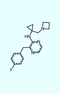 Fc1ccc(Cc2nccnc2NC2(CN3CCC3)CC2)cc1